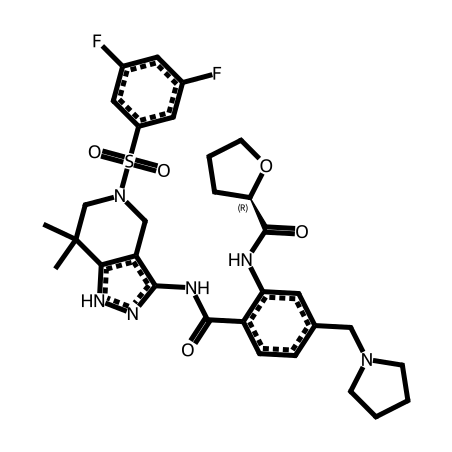 CC1(C)CN(S(=O)(=O)c2cc(F)cc(F)c2)Cc2c(NC(=O)c3ccc(CN4CCCC4)cc3NC(=O)[C@H]3CCCO3)n[nH]c21